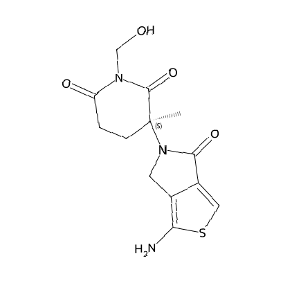 C[C@]1(N2Cc3c(csc3N)C2=O)CCC(=O)N(CO)C1=O